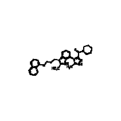 Nc1[nH]nc(C(=O)N2CCCCC2)c1-c1cccc2c(CCCOc3cccc4ccccc34)c(C(=O)O)[nH]c12